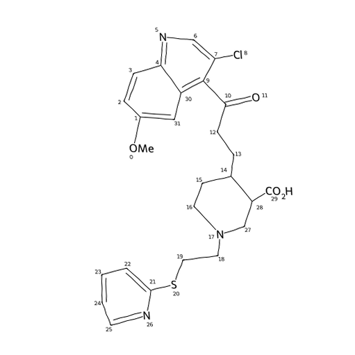 COc1ccc2ncc(Cl)c(C(=O)CCC3CCN(CCSc4ccccn4)CC3C(=O)O)c2c1